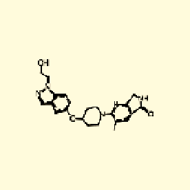 Cc1cc2c(nc1N1CCC(Oc3ccc4c(cnn4CCO)c3)CC1)CNC2=O